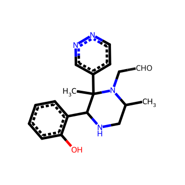 CC1CNC(c2ccccc2O)C(C)(c2ccnnc2)N1CC=O